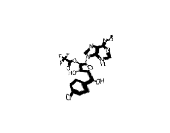 CON=c1nc[nH]c2c1ncn2[C@@H]1O[C@H]([C@H](O)c2ccc(Cl)cc2)[C@H](O)[C@H]1OC(=O)C(F)(F)F